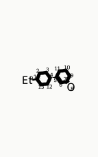 CC[C@H]1CC[C@H](C2=CC(=O)CCC2)CC1